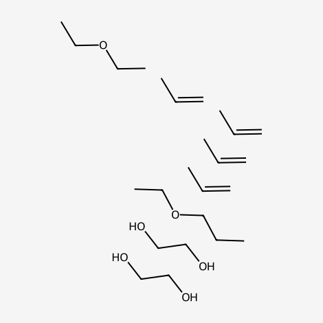 C=CC.C=CC.C=CC.C=CC.CCCOCC.CCOCC.OCCO.OCCO